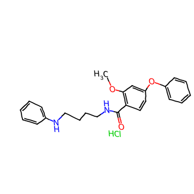 COc1cc(Oc2ccccc2)ccc1C(=O)NCCCCNc1ccccc1.Cl